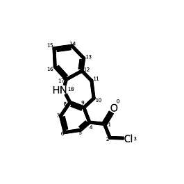 O=C(CCl)c1cccc2c1CCc1ccccc1N2